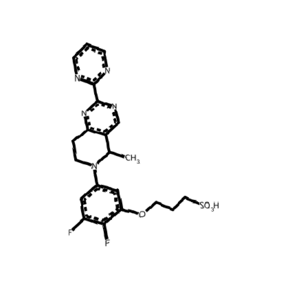 CC1c2cnc(-c3ncccn3)nc2CCN1c1cc(F)c(F)c(OCCCS(=O)(=O)O)c1